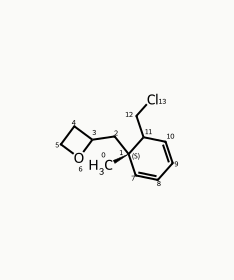 C[C@]1(CC2CCO2)C=CC=CC1CCl